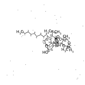 CCCCCCCCCCC(C(=O)NC1(C(CC(=O)O)NC(=O)C2OC(C)(C)OCC2(C)C)CCCCC1)C(C)C